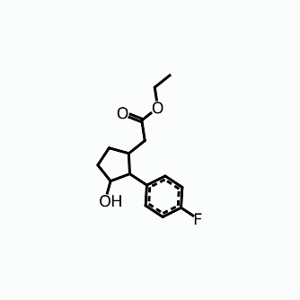 CCOC(=O)CC1CCC(O)C1c1ccc(F)cc1